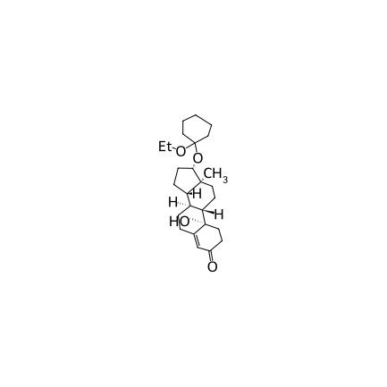 CCOC1(O[C@H]2CC[C@H]3[C@@H]4CCC5=CC(=O)CC[C@]5(CO)[C@H]4CC[C@]23C)CCCCC1